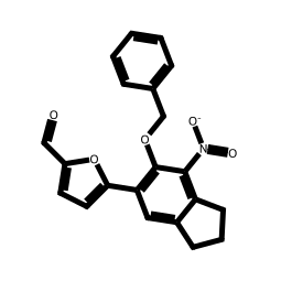 O=Cc1ccc(-c2cc3c(c([N+](=O)[O-])c2OCc2ccccc2)CCC3)o1